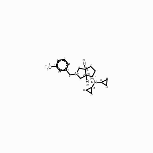 FC(F)(F)c1cccc(CN2C[C@@H]3CC[C@H](N(C4CC4)C4CC4)[C@@H]3C2)c1